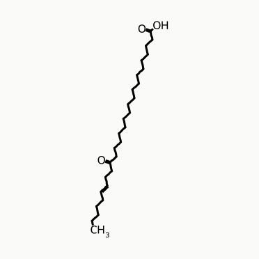 CCCCCC=CCCC(=O)CCCCCCCCCCCCCCCCCC(=O)O